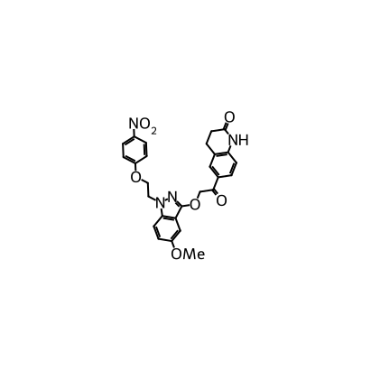 COc1ccc2c(c1)c(OCC(=O)c1ccc3c(c1)CCC(=O)N3)nn2CCOc1ccc([N+](=O)[O-])cc1